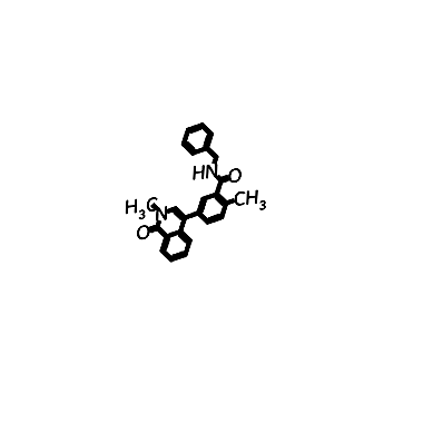 Cc1ccc(-c2cn(C)c(=O)c3ccccc23)cc1C(=O)NCc1ccccc1